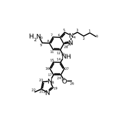 CCCCn1cc2cc(CN)cc(Nc3ccc(-n4cnc(C)c4)c(OC)c3)c2n1